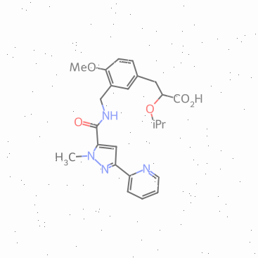 COc1ccc(CC(OC(C)C)C(=O)O)cc1CNC(=O)c1cc(-c2ccccn2)nn1C